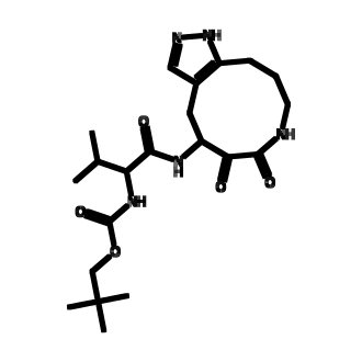 CC(C)C(NC(=O)OCC(C)(C)C)C(=O)NC1Cc2cn[nH]c2CCCNC(=O)C1=O